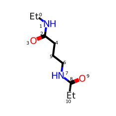 CCNC(=O)CCCNC(=O)CC